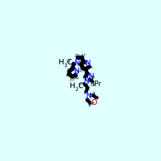 C=C(CCN1CCOCC1)n1cc(-c2cnc3ccn(C(C)c4ccccn4)c3c2)nc1C(C)C